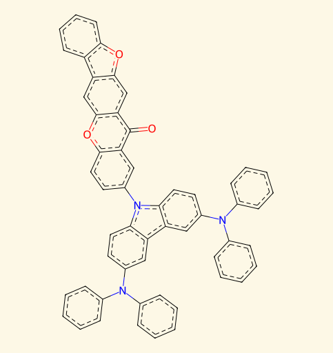 O=c1c2cc(-n3c4ccc(N(c5ccccc5)c5ccccc5)cc4c4cc(N(c5ccccc5)c5ccccc5)ccc43)ccc2oc2cc3c(cc12)oc1ccccc13